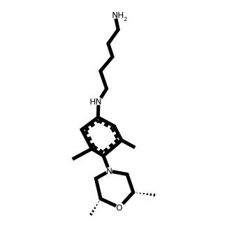 Cc1cc(NCCCCCN)cc(C)c1N1C[C@@H](C)O[C@@H](C)C1